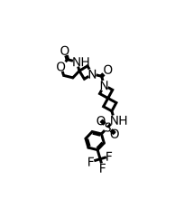 O=C1NC2(CCO1)CN(C(=O)N1CC3(CC(NS(=O)(=O)c4cccc(C(F)(F)F)c4)C3)C1)C2